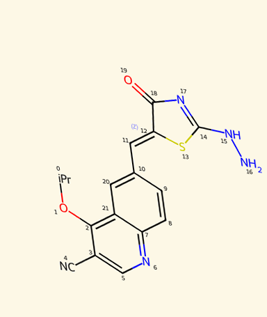 CC(C)Oc1c(C#N)cnc2ccc(/C=C3\SC(NN)=NC3=O)cc12